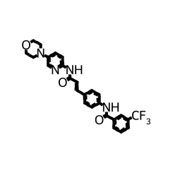 O=C(C=Cc1ccc(NC(=O)c2cccc(C(F)(F)F)c2)cc1)Nc1ccc(N2CCOCC2)cn1